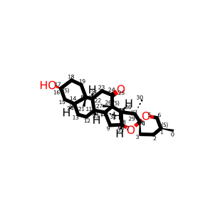 C[C@H]1CC[C@@]2(OC1)O[C@H]1C[C@H]3[C@@H]4CC[C@H]5C[C@@H](O)CC[C@]5(C)[C@H]4CC(=O)[C@]3(C)[C@H]1[C@@H]2C